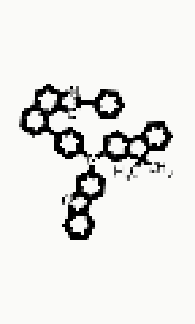 CC1(C)c2ccccc2-c2ccc(N(c3ccc(-c4cccc5ccc6nc(-c7ccccc7)oc6c45)cc3)c3ccc4c(c3)oc3ccccc34)cc21